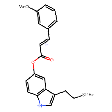 COc1cccc(/C=C/C(=O)Oc2ccc3[nH]cc(CCNC(C)=O)c3c2)c1